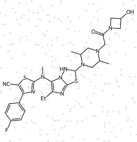 CCc1nc2n(c1N(C)c1nc(-c3ccc(F)cc3)c(C#N)s1)NC(N1CC(C)N(CC(=O)N3CC(O)C3)CC1C)S2